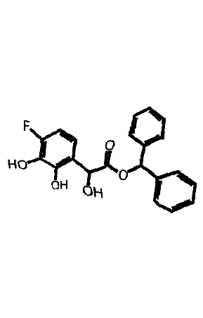 O=C(OC(c1ccccc1)c1ccccc1)C(O)c1ccc(F)c(O)c1O